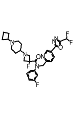 O=C(N(Cc1ccc(-c2nnc(C(F)F)o2)cn1)c1cccc(F)c1)C1(F)CN(C2CCN(C3CCC3)CC2)C1